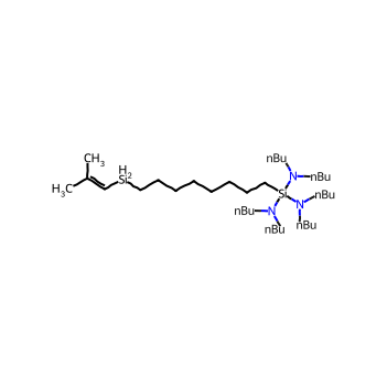 CCCCN(CCCC)[Si](CCCCCCCC[SiH2]C=C(C)C)(N(CCCC)CCCC)N(CCCC)CCCC